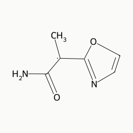 C[C](C(N)=O)c1ncco1